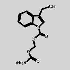 CCCCCCCC(=O)OCOC(=O)n1cc(CO)c2ccccc21